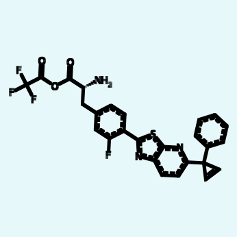 N[C@H](Cc1ccc(-c2nc3ccc(C4(c5ccccc5)C=C4)nc3s2)c(F)c1)C(=O)OC(=O)C(F)(F)F